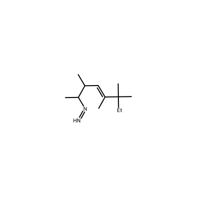 CCC(C)(C)/C(C)=C/C(C)C(C)N=N